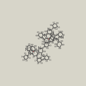 c1ccc(-c2cc(-n3c4ccccc4c4cccc(-c5ccc6c7cccnc7n(-c7ccccc7)c6c5)c43)cc(-c3ccc(-c4cccc(-c5nc(-c6ccccc6)ncc5-n5c6ccccc6c6cccc(-c7ccc8c9cccnc9n(-c9ccccc9)c8c7)c65)c4)cc3)n2)cc1